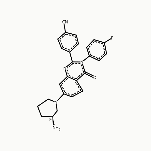 N#Cc1ccc(-c2nc3cc(N4CCC[C@H](N)C4)ccc3c(=O)n2-c2ccc(F)cc2)cc1